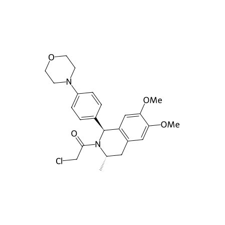 COc1cc2c(cc1OC)[C@H](c1ccc(N3CCOCC3)cc1)N(C(=O)CCl)[C@@H](C)C2